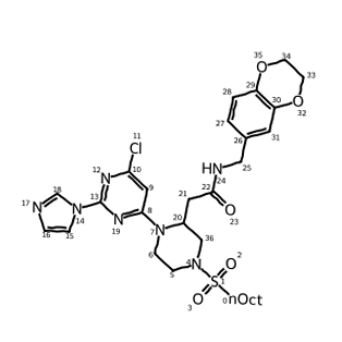 CCCCCCCCS(=O)(=O)N1CCN(c2cc(Cl)nc(-n3ccnc3)n2)C(CC(=O)NCc2ccc3c(c2)OCCO3)C1